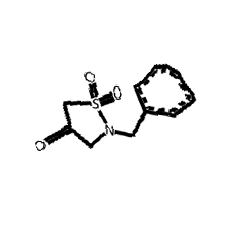 O=C1CN(Cc2ccccc2)S(=O)(=O)C1